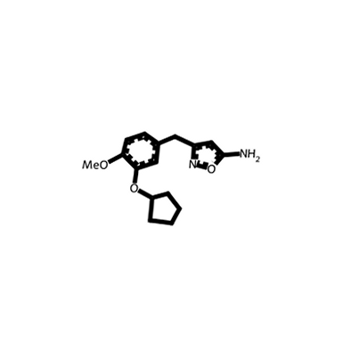 COc1ccc(Cc2cc(N)on2)cc1OC1CCCC1